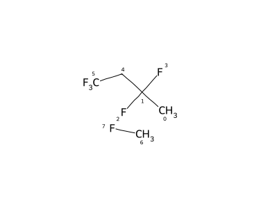 CC(F)(F)CC(F)(F)F.CF